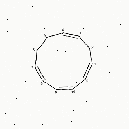 [C]1=CCC=CCCC=CC=C1